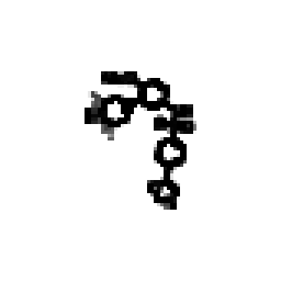 COc1ccc(NS(=O)(=O)c2ccc(-c3cnco3)cc2)cc1N1C[C@@H](C)N[C@@H](C)C1